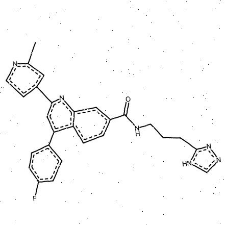 Cc1cc(-c2cc(-c3ccc(F)cc3)c3ccc(C(=O)NCCCc4nnc[nH]4)cc3n2)ccn1